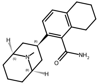 CN1[C@@H]2CCC[C@H]1C[C@@H](c1ccc3c(c1C(N)=O)CCCC3)C2